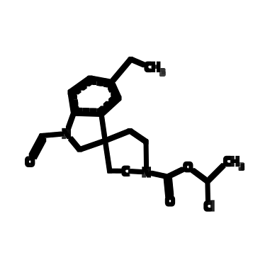 CCc1ccc2c(c1)C1(CCN(C(=O)OC(C)Cl)CC1)CN2C=O